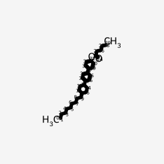 CCCCCCCCCCC1CCC(c2ccc(-c3ccc(OC(=O)CCCCC)cc3)cc2)CC1